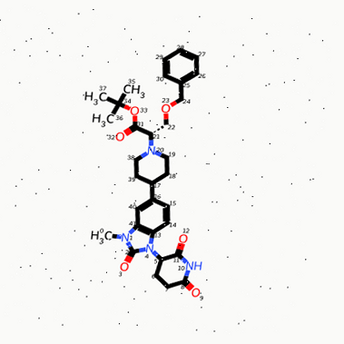 Cn1c(=O)n(C2CCC(=O)NC2=O)c2ccc(C3CCN([C@@H](COCc4ccccc4)C(=O)OC(C)(C)C)CC3)cc21